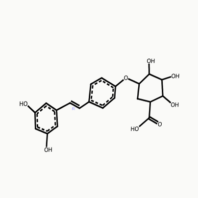 O=C(O)C1CC(Oc2ccc(/C=C/c3cc(O)cc(O)c3)cc2)C(O)C(O)C1O